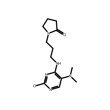 CN(C)c1cnc(Cl)nc1NCCCN1CCCC1=O